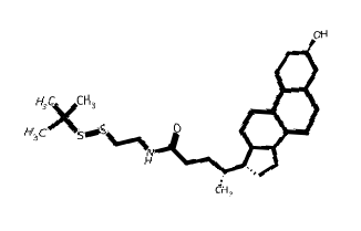 C[C@H](CCC(=O)NCCSSC(C)(C)C)[C@H]1CCC2C3CCC4C[C@H](O)CCC4C3CCC21